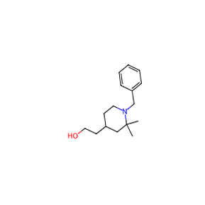 CC1(C)CC(CCO)CCN1Cc1ccccc1